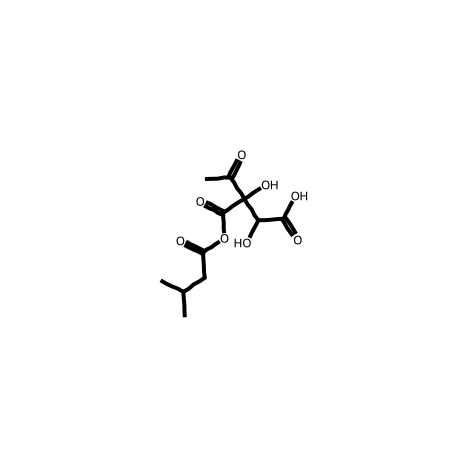 CC(=O)C(O)(C(=O)OC(=O)CC(C)C)C(O)C(=O)O